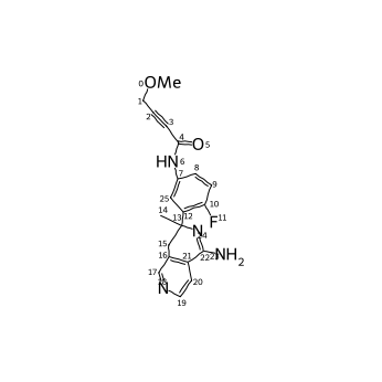 COCC#CC(=O)Nc1ccc(F)c(C2(C)Cc3cnccc3C(N)=N2)c1